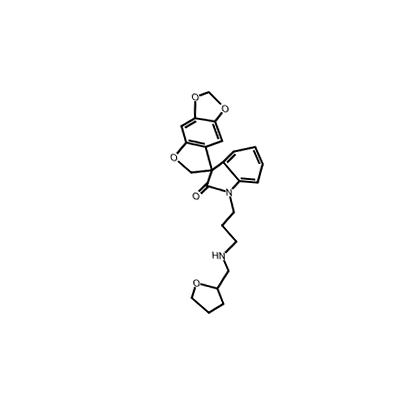 O=C1N(CCCNCC2CCCO2)c2ccccc2C12COc1cc3c(cc12)OCO3